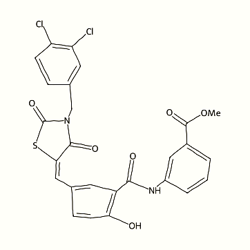 COC(=O)c1cccc(NC(=O)c2cc(C=C3SC(=O)N(Cc4ccc(Cl)c(Cl)c4)C3=O)ccc2O)c1